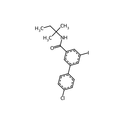 CCC(C)(C)NC(=O)c1cc(I)cc(-c2ccc(Cl)cc2)c1